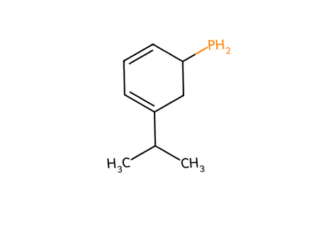 CC(C)C1=CC=CC(P)C1